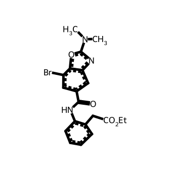 CCOC(=O)Cc1ccccc1NC(=O)c1cc(Br)c2oc(N(C)C)nc2c1